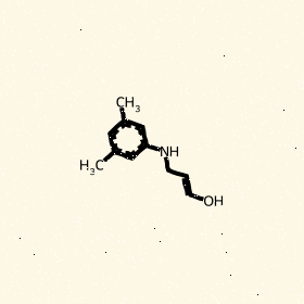 Cc1cc(C)cc(NCC=CO)c1